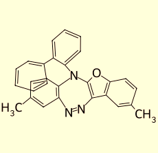 Cc1ccc2c(c1)N=Nc1c(oc3ccc(C)cc13)N2c1ccccc1-c1ccccc1